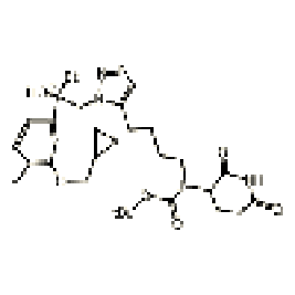 CC[C@@](O)(Cn1nncc1CCCCN(C(=O)OC(C)(C)C)C1CCC(=O)NC1=O)c1ccc(F)c(OCC2CC2)c1